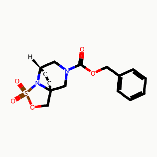 O=C(OCc1ccccc1)N1C[C@@H]2CC[C@]3(COS(=O)(=O)N23)C1